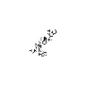 Bc1cnc(Nc2cccc(NC(=O)C(N)Cc3ccccc3)c2)nc1NCC1CCCO1